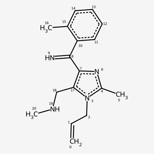 C=CCn1c(C)nc(C(=N)c2ccccc2C)c1CNC